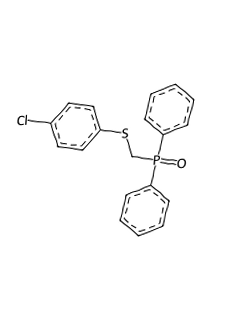 O=P(CSc1ccc(Cl)cc1)(c1ccccc1)c1ccccc1